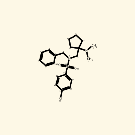 CN(C)C1(CN(Cc2ccccc2)S(=O)(=O)c2ccc(Cl)cc2)CCCC1